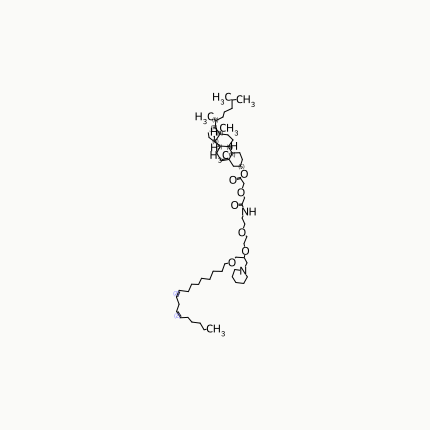 CCCCC/C=C\C/C=C\CCCCCCCCOCC(CN1CCCCC1)OCCOCCNC(=O)COCC(=O)O[C@H]1CC[C@@]2(C)C(=CC[C@H]3[C@@H]4CC[C@H]([C@H](C)CCCC(C)C)[C@@]4(C)CC[C@@H]32)C1